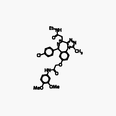 CCNC(=O)C[C@@H]1N=C(c2ccc(Cl)cc2)c2cc(OCC(=O)Nc3ccc(OC)c(OC)c3)ccc2-n2c(C)nnc21